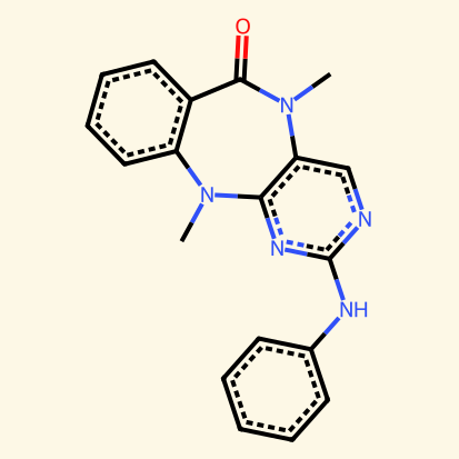 CN1C(=O)c2ccccc2N(C)c2nc(Nc3ccccc3)ncc21